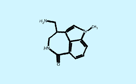 Cn1cc2c3c(cccc31)C(=O)NCC2CN